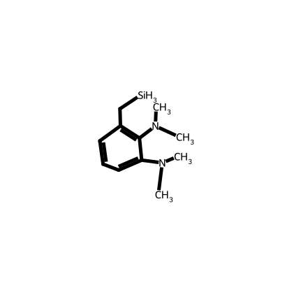 CN(C)c1cccc(C[SiH3])c1N(C)C